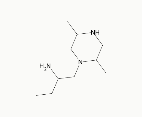 CCC(N)CN1CC(C)NCC1C